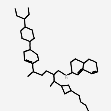 CCC(CC)C1CCC(C2CC=C(C(C)CCC(CNC3C=C4C=CCCC4CC3)C(C)C3CC(CCCCN)C3)CC2)CC1